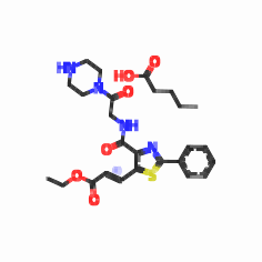 CCCCC(=O)O.CCOC(=O)/C=C/c1sc(-c2ccccc2)nc1C(=O)NCC(=O)N1CCNCC1